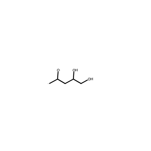 [CH2]C([O])CC(O)CO